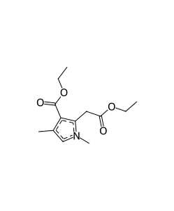 CCOC(=O)Cc1c(C(=O)OCC)c(C)cn1C